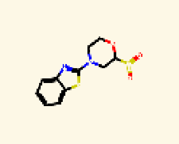 O=[SH](=O)C1CN(c2nc3ccccc3s2)CCO1